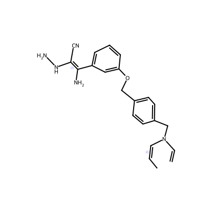 C=CN(/C=C\C)Cc1ccc(COc2cccc(/C(N)=C(\C#N)NN)c2)cc1